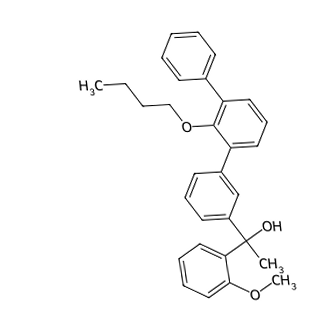 CCCCOc1c(-c2ccccc2)cccc1-c1cccc(C(C)(O)c2ccccc2OC)c1